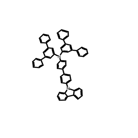 c1ccc(-c2cc(-c3ccccc3)cc(N(c3ccc(-c4ccc(-n5c6ccccc6c6ccccc65)cc4)cc3)c3cc(-c4ccccc4)cc(-c4ccccc4)c3)c2)cc1